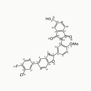 COc1ccc(-c2nc3cc(-c4ccc(F)c(Cl)c4)ccc3o2)cc1N1C(=O)c2ccc(C(=O)O)cc2C1=O